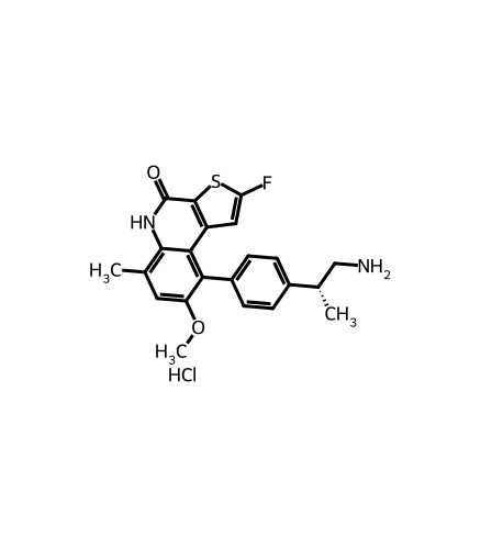 COc1cc(C)c2[nH]c(=O)c3sc(F)cc3c2c1-c1ccc([C@@H](C)CN)cc1.Cl